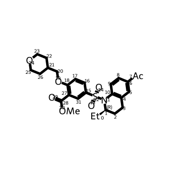 CC[C@@H]1CCc2cc(C(C)=O)ccc2N1S(=O)(=O)c1ccc(OCC2CCOCC2)c(C(=O)OC)c1